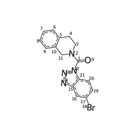 O=C(N1CCc2ccccc2C1)n1nnc2cc(Br)ccc21